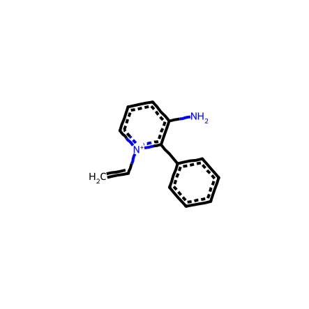 C=C[n+]1cccc(N)c1-c1ccccc1